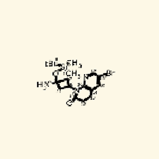 CC1(O[Si](C)(C)C(C)(C)C)CC(N2C(=O)CCc3cc(Br)cnc32)C1